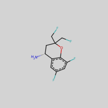 N[C@@H]1CC(CF)(CF)Oc2c(F)cc(F)cc21